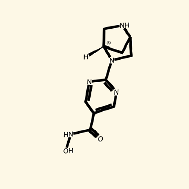 O=C(NO)c1cnc(N2CC3C[C@H]2CN3)nc1